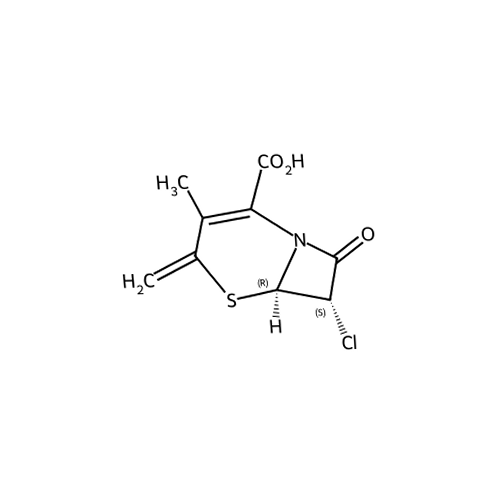 C=C1S[C@@H]2[C@@H](Cl)C(=O)N2C(C(=O)O)=C1C